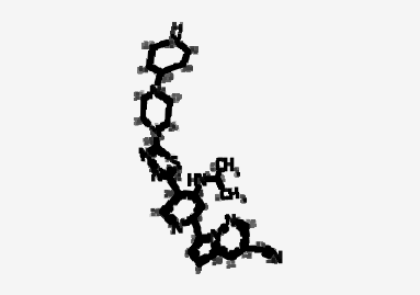 CC(C)Nc1cc(-c2ccc3cc(C#N)cnn23)ncc1-c1nnc(N2CCN(C3CCNCC3)CC2)s1